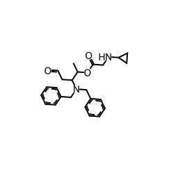 CC(OC(=O)CNC1CC1)C(CC=O)N(Cc1ccccc1)Cc1ccccc1